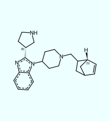 C1=C[C@@H]2CC1CC2CN1CCC(n2c([C@@H]3CCNC3)nc3ccccc32)CC1